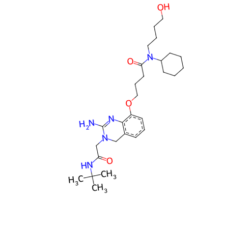 CC(C)(C)NC(=O)CN1Cc2cccc(OCCCC(=O)N(CCCCO)C3CCCCC3)c2N=C1N